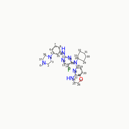 CN1CCN(c2cccc(Nc3ncc(F)c(N(c4ccc5c(n4)NCCO5)C4CCCCC4)n3)c2)CC1